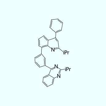 CC(C)c1cc(-c2ccccc2)c2cccc(-c3cccc(-c4nc(C(C)C)nc5ccccc45)c3)c2n1